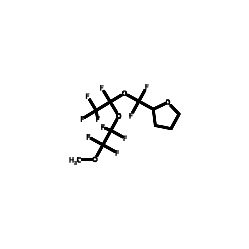 COC(F)(F)C(F)(F)OC(F)(OC(F)(F)C1CCCO1)C(F)(F)F